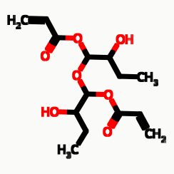 C=CC(=O)OC(OC(OC(=O)C=C)C(O)CC)C(O)CC